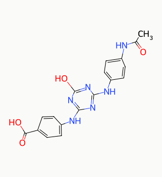 CC(=O)Nc1ccc(Nc2nc(O)nc(Nc3ccc(C(=O)O)cc3)n2)cc1